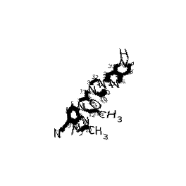 Cc1cnc2c(C#N)ccc(N3CC(C)OC(CN4CCN(c5cc6c(cn5)CCNC6)CC4)C3)c2n1